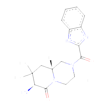 C[C@@H]1CN2C(=O)[C@@H](N)C(C)(C)C[C@@H]2CN1C(=O)c1nc2ccccc2[nH]1